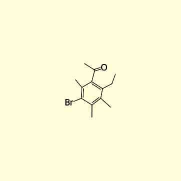 CCc1c(C)c(C)c(Br)c(C)c1C(C)=O